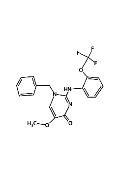 COc1cn(Cc2ccccc2)c(Nc2ccccc2OC(F)(F)F)nc1=O